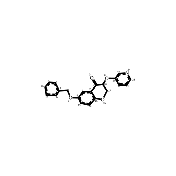 O=C1c2cc(OCc3ccccc3)ccc2OCC1Oc1cccnc1